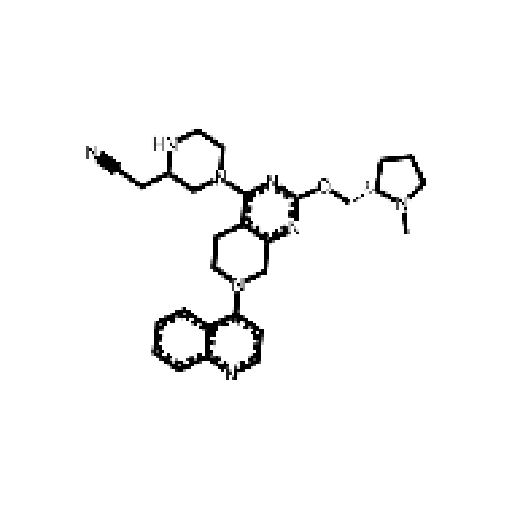 CN1CCC[C@H]1COc1nc2c(c(N3CCNC(CC#N)C3)n1)CCN(c1ccnc3ccccc13)C2